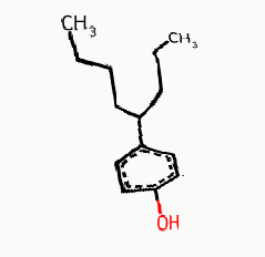 CCCCC(CCC)c1c[c]c(O)cc1